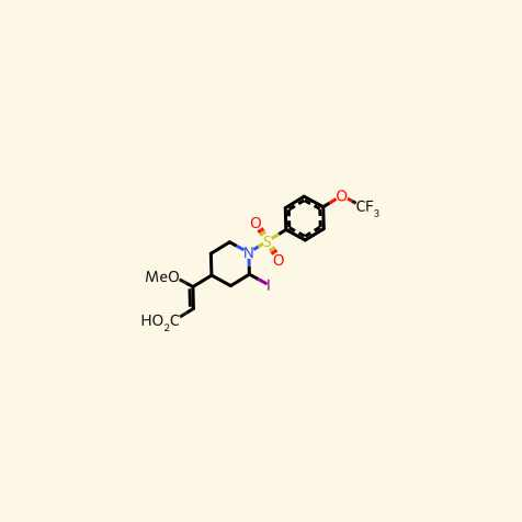 COC(=CC(=O)O)C1CCN(S(=O)(=O)c2ccc(OC(F)(F)F)cc2)C(I)C1